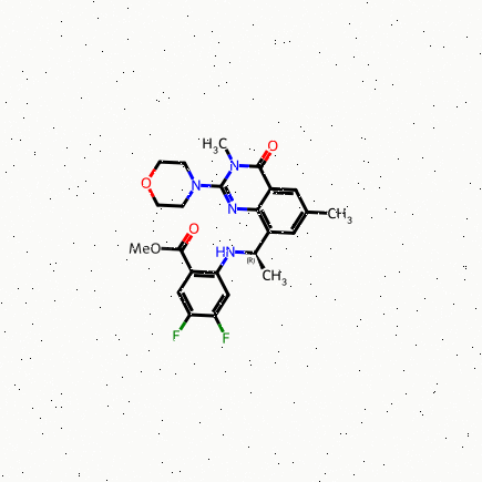 COC(=O)c1cc(F)c(F)cc1N[C@H](C)c1cc(C)cc2c(=O)n(C)c(N3CCOCC3)nc12